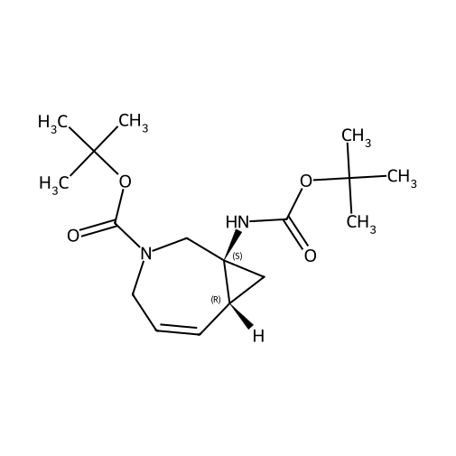 CC(C)(C)OC(=O)N[C@@]12C[C@@H]1C=CCN(C(=O)OC(C)(C)C)C2